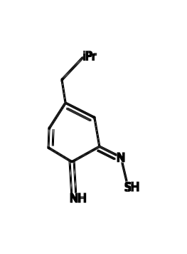 CC(C)CC1=C/C(=N/S)C(=N)C=C1